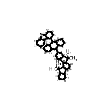 CC1(C)c2cc(-c3c4ccccc4c(-c4cccc5sc6ccccc6c45)c4ccccc34)ccc2-c2c1ccc1c2C(C)(C)c2ccccc2-1